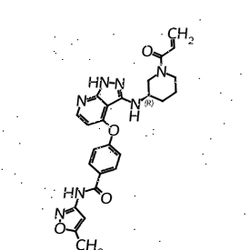 C=CC(=O)N1CCC[C@@H](Nc2n[nH]c3nccc(Oc4ccc(C(=O)Nc5cc(C)on5)cc4)c23)C1